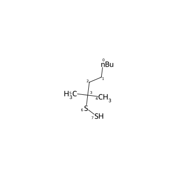 CCCCCCC(C)(C)SS